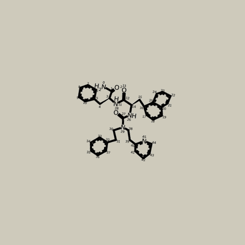 NC(=O)[C@H](Cc1ccccc1)NC(=O)[C@@H](Cc1cccc2ccccc12)NC(=O)N(CCc1ccccc1)CCc1ccccn1